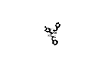 Cc1ccc(C(NC(=O)Cc2ccccc2)NC(=O)Cc2ccccc2)cc1